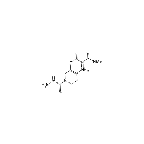 C=C(NC(=O)NC)SC1=C(N)CCN(C(=S)NN)C1